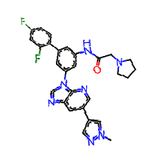 Cn1cc(-c2cnc3c(c2)ncn3-c2cc(NC(=O)CN3CCCC3)cc(-c3ccc(F)cc3F)c2)cn1